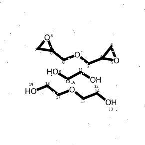 C(OCC1CO1)C1CO1.OCCO.OCCOCCO